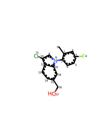 Cc1cc(F)ccc1-n1cc(Cl)c2ccc(CO)cc21